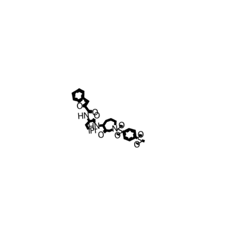 CC(C)CC(NC(=O)c1cc2ccccc2o1)C(=O)NC1CCCN(S(=O)(=O)c2ccc(S(C)(=O)=O)cc2)CC1=O